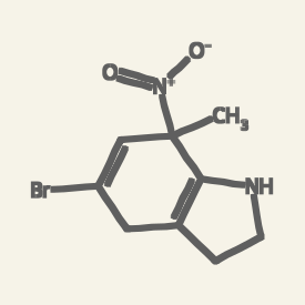 CC1([N+](=O)[O-])C=C(Br)CC2=C1NCC2